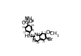 COc1cc2nc(Nc3ccc(S(N)(=O)=O)cc3)ncc2cc1Br